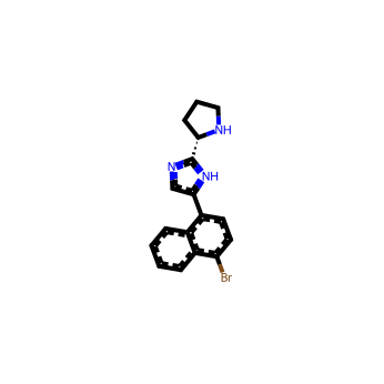 Brc1ccc(-c2cnc([C@@H]3CCCN3)[nH]2)c2ccccc12